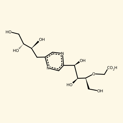 O=C(O)CO[C@@H](CO)[C@@H](O)[C@H](O)c1cnc(C[C@H](O)[C@H](O)CO)cn1